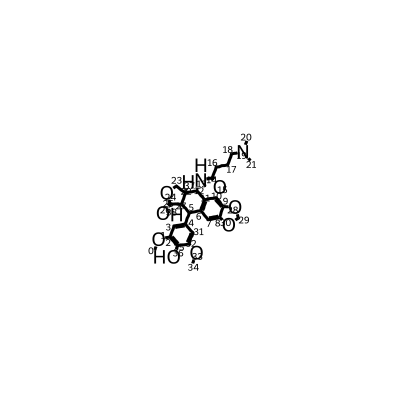 COc1cc(C2c3cc4c(cc3[C@@H](NC(=O)CCCN(C)C)[C@H]3COC(=O)[C@H]23)OCO4)cc(OC)c1O